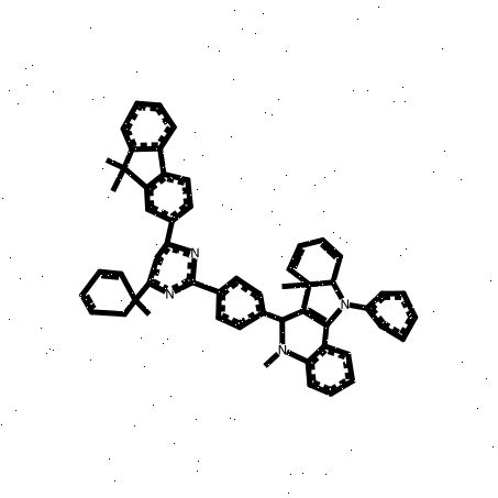 CN1c2ccccc2C2=C(C1c1ccc(-c3nc(-c4ccc5c(c4)C(C)(C)c4ccccc4-5)cc(C4(C)C=CC=CC4)n3)cc1)C1(C)C=CC=CC1N2c1ccccc1